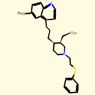 COc1ccc2nccc(CCC[C@@H]3CCN(CCSc4ccccc4)C[C@@H]3CC(=O)O)c2c1